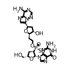 Nc1nc2c(ncn2[C@@H]2O[C@H](CO)C[C@H]2[P@](=O)(S)OCC[C@H]2O[C@@H](c3cnc4c(N)ncnn34)C[C@@H]2O)c(=O)[nH]1